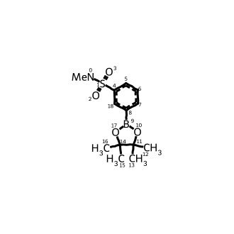 CNS(=O)(=O)c1cccc(B2OC(C)(C)C(C)(C)O2)c1